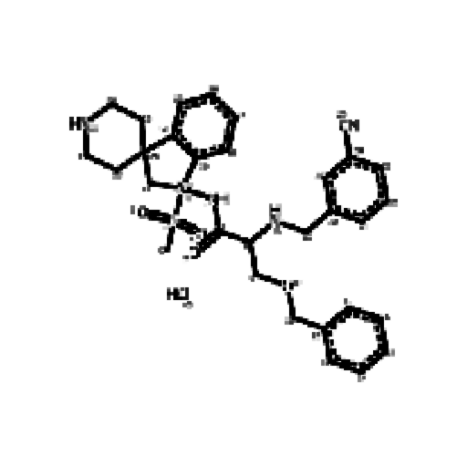 CS(=O)(=O)[N+]1(NC(=O)C(COCc2ccccc2)NCc2cccc(C#N)c2)CC2(CCNCC2)c2ccccc21.Cl